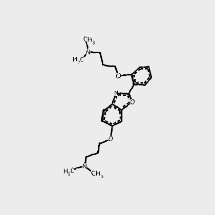 CN(C)CCCOc1ccc2nc(-c3ccccc3OCCCN(C)C)oc2c1